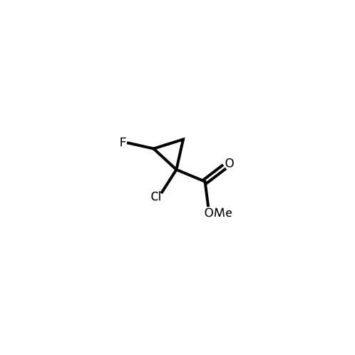 COC(=O)C1(Cl)CC1F